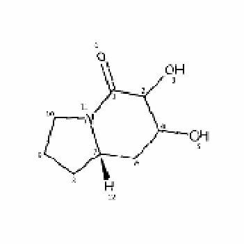 O=C1C(O)C(O)C[C@@H]2CCCN12